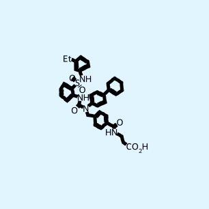 CCc1cccc(NS(=O)(=O)c2ccccc2NC(=O)N(Cc2ccc(C(=O)NCCC(=O)O)cc2)c2ccc(C3=CCCCC3)cc2)c1